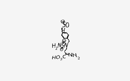 N[C@@H](CCN(Cc1ccc(C[SH](=O)=O)cc1)S(N)(=O)=O)C(=O)O